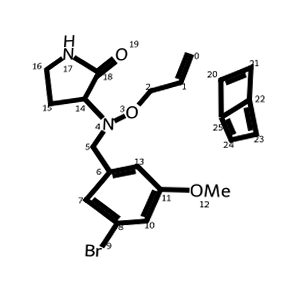 C=CCON(Cc1cc(Br)cc(OC)c1)C1CCNC1=O.c1cc2ccc1-2